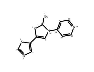 CCC(C)C1SC(c2cncs2)=[C]N1c1ccncc1